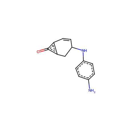 Nc1ccc(NC2C=Cc3c(c3=O)C2)cc1